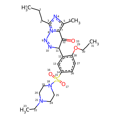 CCCc1nc(C)c2n1N=NC(c1cc(S(=O)(=O)N3CCN(CC)CC3)ccc1OCC)C2=O